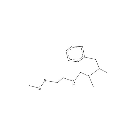 CSSCCNCN(C)C(C)Cc1ccccc1